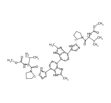 COC(=O)N[C@H](C(=O)N1CCC[C@H]1c1ncc(-c2ccc(-c3ccc(-c4cnc([C@@H]5CCCN5C(=O)[C@@H](NC(=O)OC)C(C)C)[nH]4)c4[nH]c(C)nc34)c3[nH]c(C)nc23)[nH]1)C(C)C